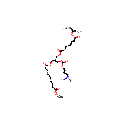 CCCCCCCCCCOC(=O)CCCCCCCC(=O)OCC(COC(=O)CCCCCC(=O)OC(CCCCCCCC)CCCCCCCC)COC(=O)OCCCN(CC)CC